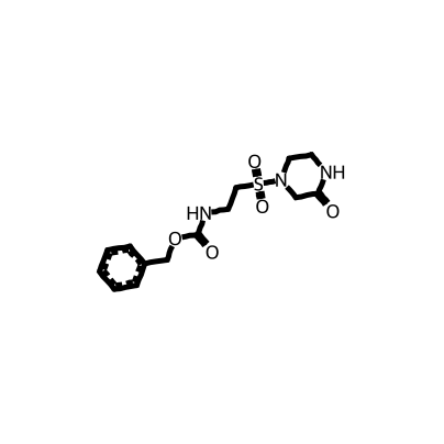 O=C1CN(S(=O)(=O)CCNC(=O)OCc2ccccc2)CCN1